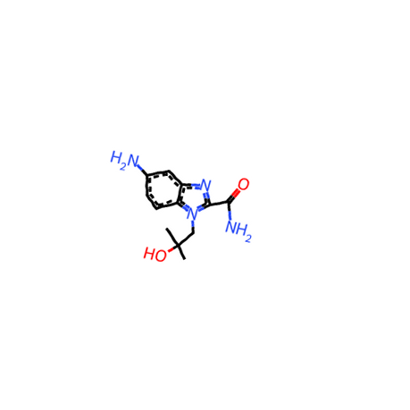 CC(C)(O)Cn1c(C(N)=O)nc2cc(N)ccc21